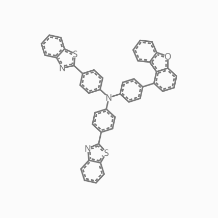 c1ccc2sc(-c3ccc(N(c4ccc(-c5nc6ccccc6s5)cc4)c4ccc(-c5cccc6oc7ccccc7c56)cc4)cc3)nc2c1